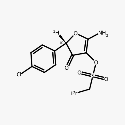 [2H][C@@]1(c2ccc(Cl)cc2)OC(N)=C(OS(=O)(=O)CC(C)C)C1=O